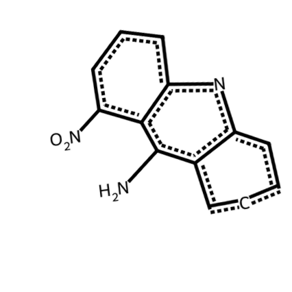 Nc1c2ccccc2nc2cccc([N+](=O)[O-])c12